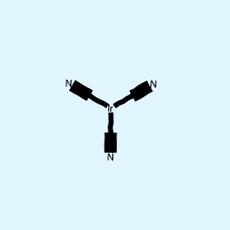 N#[C][Ir]([C]#N)[C]#N